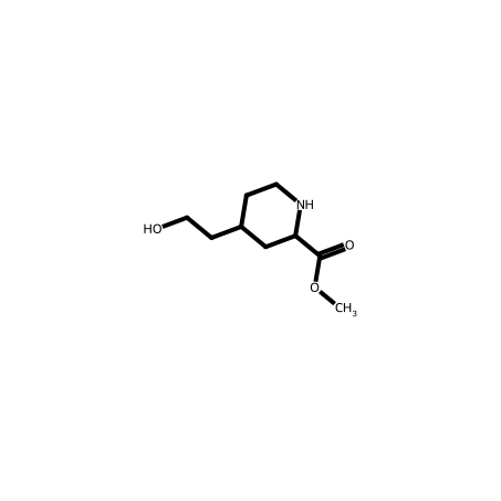 COC(=O)C1CC(CCO)CCN1